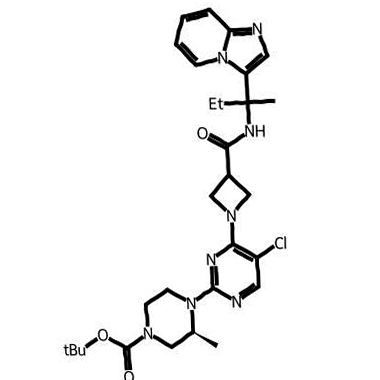 CCC(C)(NC(=O)C1CN(c2nc(N3CCN(C(=O)OC(C)(C)C)C[C@@H]3C)ncc2Cl)C1)c1cnc2ccccn12